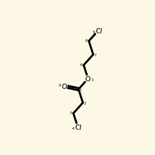 O=C(CCCl)OCCCCl